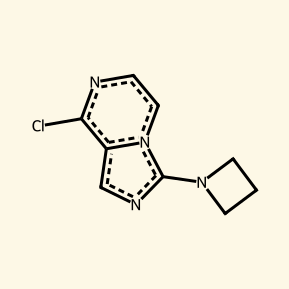 Clc1nccn2c(N3CCC3)ncc12